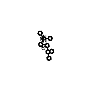 c1ccc(C2=c3ccccc3=C(c3cccc4c3oc3cccc(-c5nc(-c6ccccc6)nc(-c6ccccc6)n5)c34)CC2)cc1